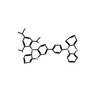 CC(C)c1cc(C(C)C)c(B2c3ccccc3Oc3cc(-c4ccc(N5c6ccccc6Oc6ccccc65)cc4)ccc32)c(C(C)C)c1